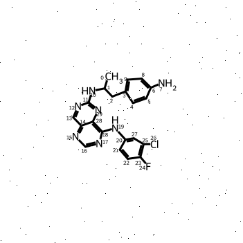 CC(Cc1ccc(N)cc1)Nc1ncc2ncnc(Nc3ccc(F)c(Cl)c3)c2n1